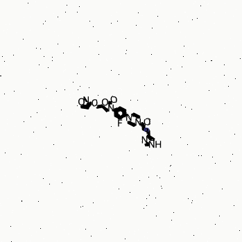 O=C(/C=C/c1c[nH]cn1)N1CCN(c2ccc(N3CC(COc4ccon4)OC3=O)cc2F)CC1